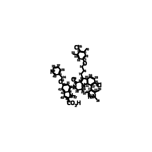 Cc1cc(OCCCc2c3n(c4c(-c5c(C)nn(C)c5C)c(Cl)ccc24)C(C)CN(c2cc(OCc4cccnc4)cc4cc(C(=O)O)n(C)c24)C3=O)cc(C)c1Cl